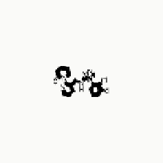 O=c1ccccn1-c1ncccc1CNc1nnnn1-c1cccc(Cl)c1Cl